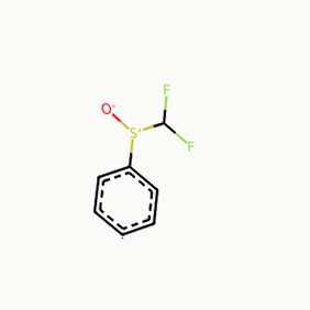 [O-][S+](c1cc[c]cc1)C(F)F